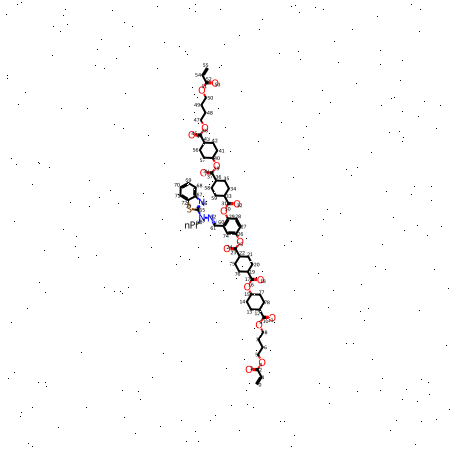 C=CC(=O)OCCCCOC(=O)C1CCC(OC(=O)C2CCC(C(=O)Oc3ccc(OC(=O)C4CCC(C(=O)OC5CCC(C(=O)OCCCCOC(=O)C=C)CC5)CC4)c(/C=N/N(CCC)c4nc5ccccc5s4)c3)CC2)CC1